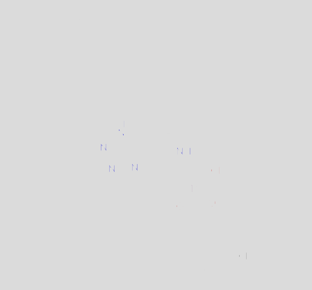 Cc1cccc(OP(=O)(O)CN[C@@H](Cc2ccc(-c3ccccc3)cc2)c2nnn[nH]2)c1